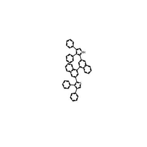 c1ccc(-c2c[nH]c(-c3cc(-c4cc(-c5scc(-c6ccccc6)c5-c5ccccc5)cc5ccccc45)c4ccccc4c3)c2-c2ccccc2)cc1